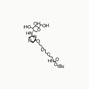 CC(C)(C)OC(=O)NCCOCCOCCOc1cncc(N[C@H]2CO[C@H](CO)[C@H](O)[C@@H]2O)n1